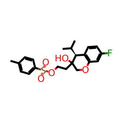 Cc1ccc(S(=O)(=O)OCCC2(O)COc3cc(F)ccc3[C@@H]2C(C)C)cc1